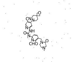 CN1CCN(Cc2ccc(N(C)C(=O)Nc3cc(N4CCC5(CC4)COC5)c(C#N)cn3)nc2C=O)C(=O)C1